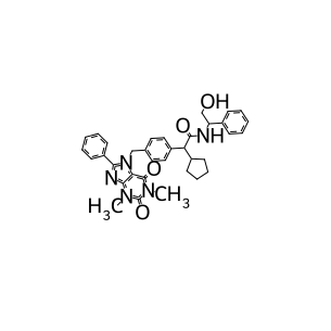 Cn1c(=O)c2c(nc(-c3ccccc3)n2Cc2ccc(C(C(=O)NC(CO)c3ccccc3)C3CCCC3)cc2)n(C)c1=O